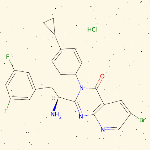 Cl.N[C@@H](Cc1cc(F)cc(F)c1)c1nc2ncc(Br)cc2c(=O)n1-c1ccc(C2CC2)cc1